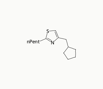 CCCCCc1nc(CC2CCCC2)cs1